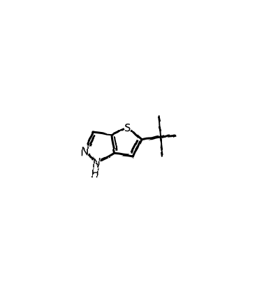 CC(C)(C)c1cc2[nH]ncc2s1